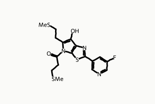 CSCCC(=O)n1c(CCSC)c(O)c2nc(-c3cncc(F)c3)sc21